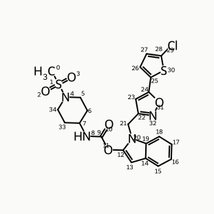 CS(=O)(=O)N1CCC(NC(=O)Oc2cc3ccccc3n2Cc2cc(-c3ccc(Cl)s3)on2)CC1